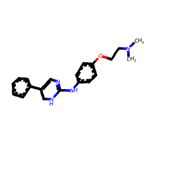 CN(C)CCOc1ccc(NC2=NC=C(c3ccccc3)[CH]N2)cc1